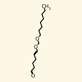 CCCCCCCCOCOC=CCCCC=O